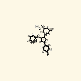 NC1CC(F)CN(C2CC(c3ccc(F)cc3)CC2Oc2cccnn2)C1